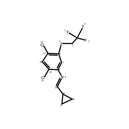 FC(F)(F)CSc1cc(/N=C/C2CC2)c(Cl)cc1Cl